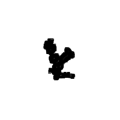 COC(=O)c1ccc(CN(C(=O)N2CCS(=O)(=O)CC2)c2ccc(-c3ccc4c(ccn4C)c3)cc2)c(F)c1